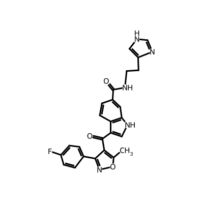 Cc1onc(-c2ccc(F)cc2)c1C(=O)c1c[nH]c2cc(C(=O)NCCc3c[nH]cn3)ccc12